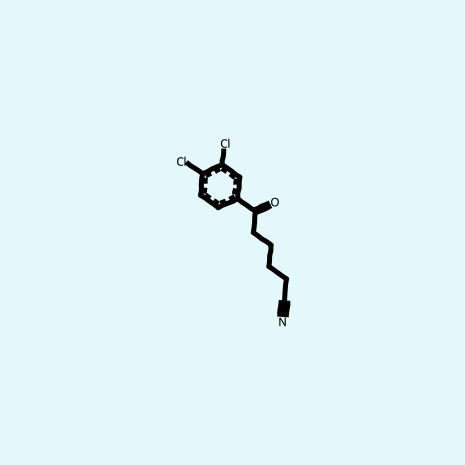 N#CCCCCC(=O)c1ccc(Cl)c(Cl)c1